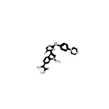 C=C(C(N)=O)c1ccc2c(-c3nc(Nc4ccc(N5CCOCC5)cc4)ncc3F)cn(C)c2c1